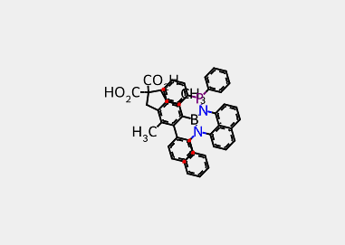 Cc1c2c(c(C)c(-c3ccccc3)c1B1N(Cc3ccccc3)c3cccc4cccc(c34)N1P(c1ccccc1)c1ccccc1)CC(C(=O)O)(C(=O)O)C2